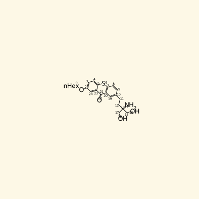 CCCCCCOc1ccc2sc3ccc(CCC(N)(CO)CO)cc3c(=O)c2c1